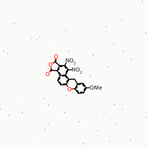 COc1ccc2c(c1)Cc1c(ccc3c4c(c([N+](=O)[O-])c([N+](=O)[O-])c13)C(=O)OC4=O)O2